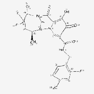 Cc1ccc(CNC(=O)c2cn3c(c(O)c2=O)C(=O)N2CN3[C@@H](C)CC(F)(F)[C@@H]2C)c(F)c1